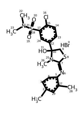 Br.Cc1ccc(/N=C2/SCC(O)(c3ccc(Cl)c(S(=O)(=O)N(C)C)c3)N2C)c(C)c1